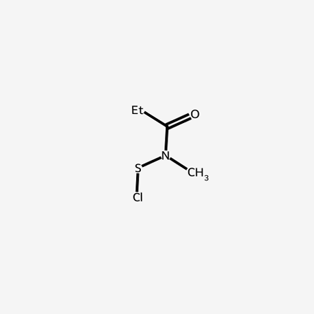 CCC(=O)N(C)SCl